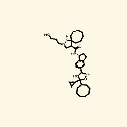 O=C(N[C@@H]1CCc2cc(C3NOC(C4CCCCCCC4)(C4CC4)N3)ccc21)C1CN(CCCO)NC12CCCCCCC2